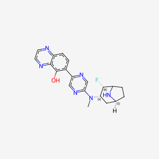 CN(c1cnc(-c2ccc3nccnc3c2O)cn1)[C@H]1C[C@@H]2CCC(N2)[C@H]1F